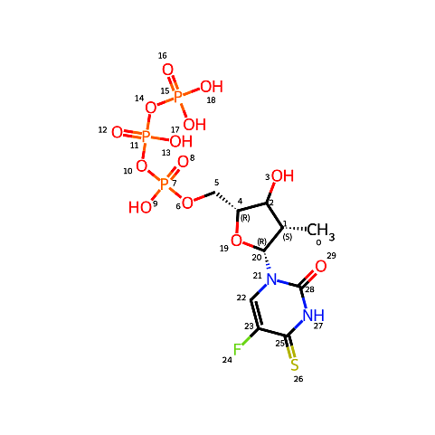 C[C@H]1C(O)[C@@H](COP(=O)(O)OP(=O)(O)OP(=O)(O)O)O[C@H]1n1cc(F)c(=S)[nH]c1=O